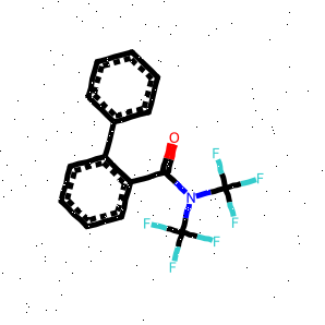 O=C(c1ccccc1-c1ccccc1)N(C(F)(F)F)C(F)(F)F